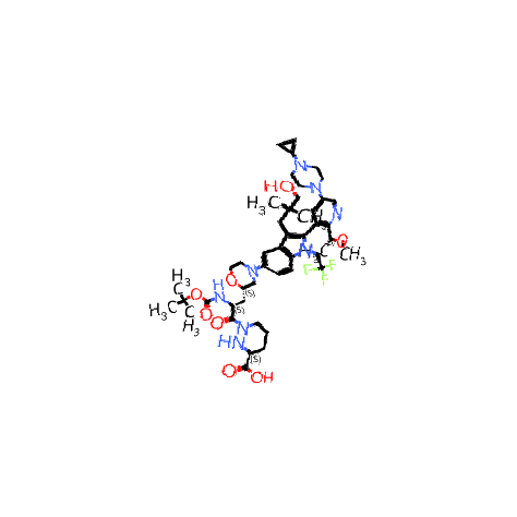 CO[C@@H](C)c1ncc(N2CCN(C3CC3)CC2)cc1-c1c(CC(C)(C)CO)c2cc(N3CCO[C@@H](C[C@H](NC(=O)OC(C)(C)C)C(=O)N4CCC[C@@H](C(=O)O)N4)C3)ccc2n1CC(F)(F)F